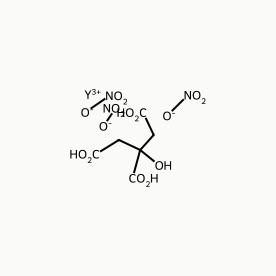 O=C(O)CC(O)(CC(=O)O)C(=O)O.O=[N+]([O-])[O-].O=[N+]([O-])[O-].O=[N+]([O-])[O-].[Y+3]